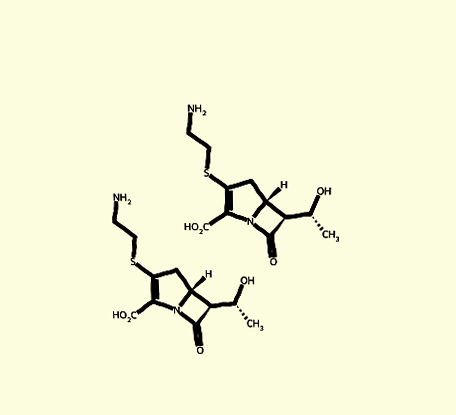 C[C@@H](O)[C@H]1C(=O)N2C(C(=O)O)=C(SCCN)C[C@H]12.C[C@@H](O)[C@H]1C(=O)N2C(C(=O)O)=C(SCCN)C[C@H]12